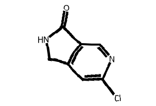 O=C1NCc2cc(Cl)ncc21